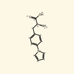 N[C@@H](Cc1ccc(-n2cccc2)cc1)C(=O)O